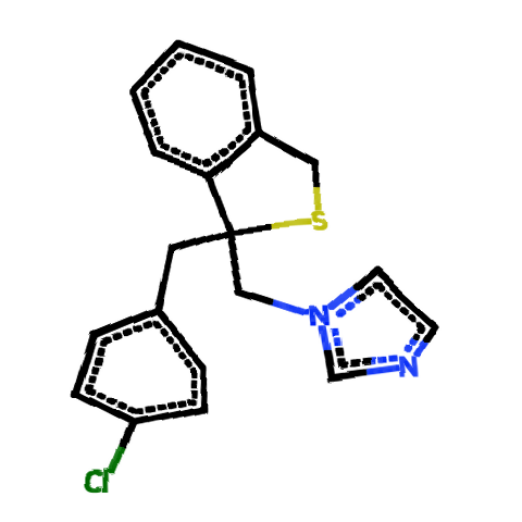 Clc1ccc(CC2(Cn3ccnc3)SCc3ccccc32)cc1